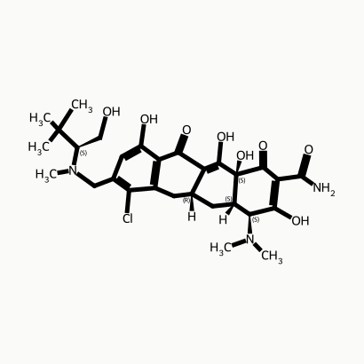 CN(C)[C@@H]1C(O)=C(C(N)=O)C(=O)[C@@]2(O)C(O)=C3C(=O)c4c(O)cc(CN(C)[C@H](CO)C(C)(C)C)c(Cl)c4C[C@H]3C[C@@H]12